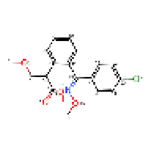 CO/C=C(/C(=O)O)c1ccccc1C(=NOC)c1ccc(Cl)cc1